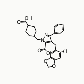 O=C(O)c1c(Cc2cc3c(cc2Cl)OCO3)c(-c2ccccc2)nn1CC1CCC(C(=O)O)CC1